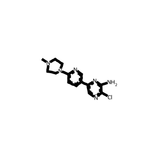 CN1CCN(c2ccc(-c3cnc(Cl)c(N)n3)cn2)CC1